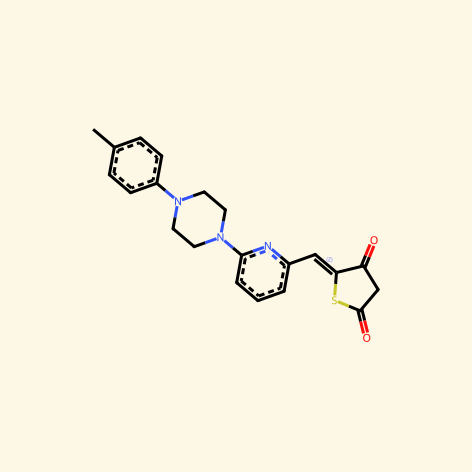 Cc1ccc(N2CCN(c3cccc(/C=C4\SC(=O)CC4=O)n3)CC2)cc1